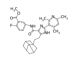 COC(=O)c1cc(NC(=O)c2nc(-c3c(C)cc(C)nc3C)[nH]c2CCC23CC4CC(CC(C4)C2)C3)ccc1F